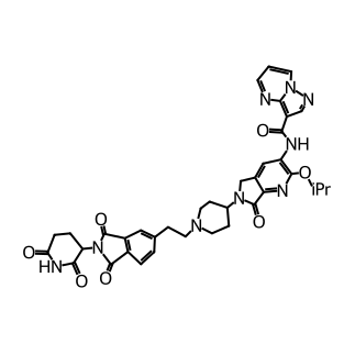 CC(C)Oc1nc2c(cc1NC(=O)c1cnn3cccnc13)CN(C1CCN(CCc3ccc4c(c3)C(=O)N(C3CCC(=O)NC3=O)C4=O)CC1)C2=O